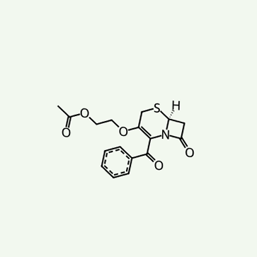 CC(=O)OCCOC1=C(C(=O)c2ccccc2)N2C(=O)C[C@@H]2SC1